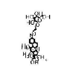 C[C@@H]1C[C@H]2C3CCC4=C/C(=N\OCCCO[C@H]5O[C@H](CO)[C@@H](O)[C@H](O)[C@@H]5O)C=C[C@]4(C)[C@@]3(F)[C@@H](O)C[C@]2(C)[C@@]1(O)C(=O)CO